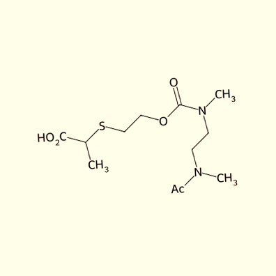 CC(=O)N(C)CCN(C)C(=O)OCCSC(C)C(=O)O